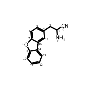 N#CC(N)Cc1ccc2oc3ccccc3c2c1